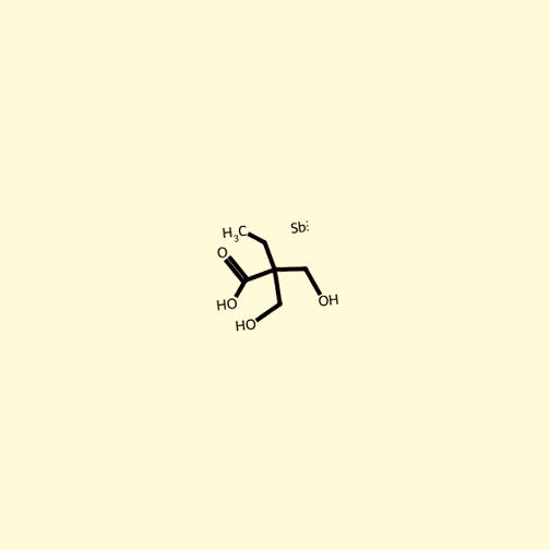 CCC(CO)(CO)C(=O)O.[Sb]